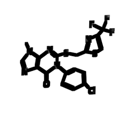 Cn1cnc2c(=O)n(-c3ccc(Cl)cc3)c(SCc3nc(C(F)(F)F)cs3)nc21